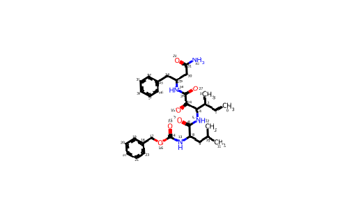 CCC(C)C(NC(=O)C(CC(C)C)NC(=O)OCc1ccccc1)C(=O)C(=O)NC(CC(N)=O)Cc1ccccc1